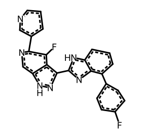 Fc1ccc(-c2cccc3[nH]c(-c4n[nH]c5cnc(-c6cccnc6)c(F)c45)nc23)cc1